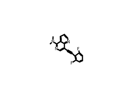 CN(C)c1ncc(C#Cc2c(F)cccc2F)c2ncccc12